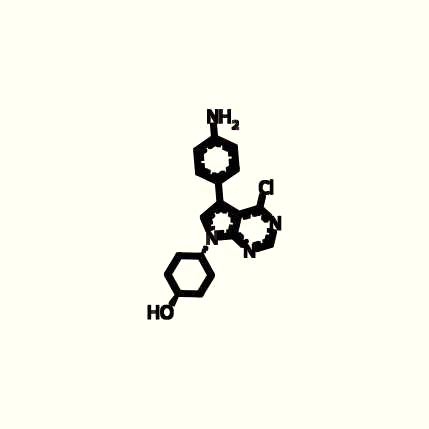 Nc1ccc(-c2cn([C@H]3CC[C@H](O)CC3)c3ncnc(Cl)c23)cc1